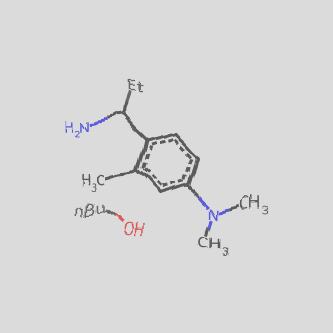 CCC(N)c1ccc(N(C)C)cc1C.[CH2]CCCO